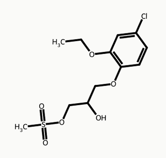 CCOc1cc(Cl)ccc1OCC(O)COS(C)(=O)=O